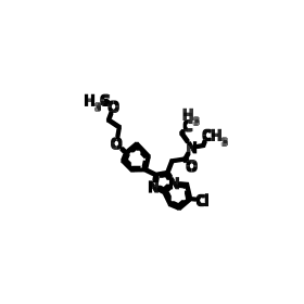 CCN(CC)C(=O)Cc1c(-c2ccc(OCCOC)cc2)nc2ccc(Cl)cn12